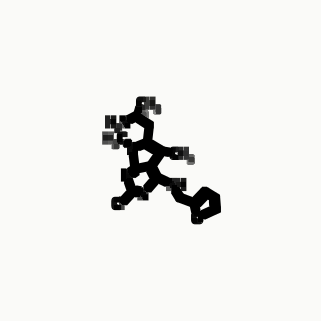 Cc1c(C[C@H](C)N)n(C)c2nc(Cl)nc(NCc3ccco3)c12